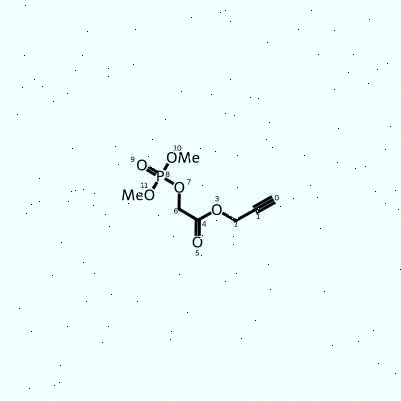 C#CCOC(=O)COP(=O)(OC)OC